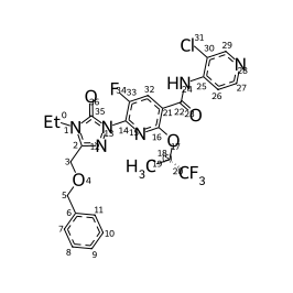 CCn1c(COCc2ccccc2)nn(-c2nc(O[C@@H](C)C(F)(F)F)c(C(=O)Nc3ccncc3Cl)cc2F)c1=O